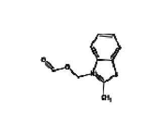 Cc1sc2ccccc2[n+]1COC=O